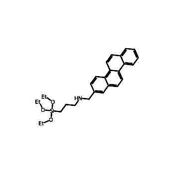 CCO[Si](CCCNCc1ccc2c(ccc3c4ccccc4ccc23)c1)(OCC)OCC